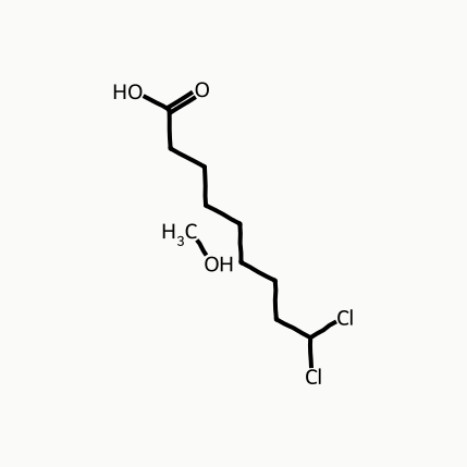 CO.O=C(O)CCCCCCCC(Cl)Cl